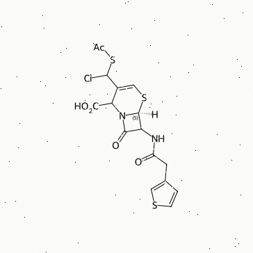 CC(=O)SC(Cl)C1=CS[C@H]2C(NC(=O)Cc3ccsc3)C(=O)N2C1C(=O)O